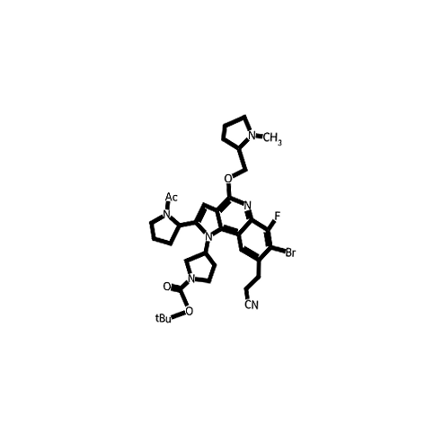 CC(=O)N1CCCC1c1cc2c(OCC3CCCN3C)nc3c(F)c(Br)c(CCC#N)cc3c2n1C1CCN(C(=O)OC(C)(C)C)C1